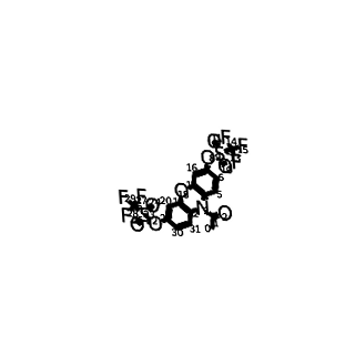 CC(=O)N1c2ccc(OS(=O)(=O)C(F)(F)F)cc2Oc2cc(OS(=O)(=O)C(F)(F)F)ccc21